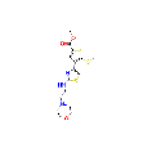 COC(=O)c1cc(-c2csc(NCCN3CCOCC3)n2)c(SC)s1